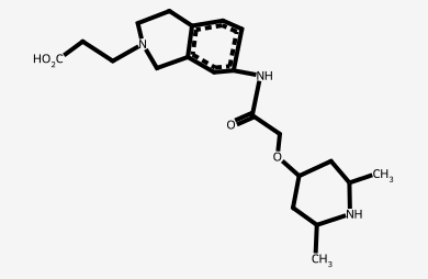 CC1CC(OCC(=O)Nc2ccc3c(c2)CN(CCC(=O)O)CC3)CC(C)N1